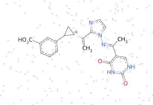 C=C(c1nccn1/N=C(\C)c1c[nH]c(=O)[nH]c1=O)[C@H]1CC1c1cccc(C(=O)O)c1